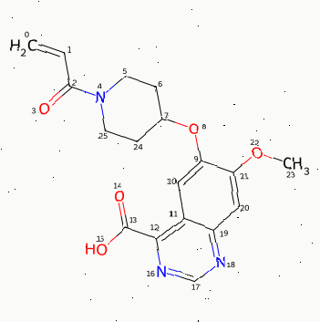 C=CC(=O)N1CCC(Oc2cc3c(C(=O)O)ncnc3cc2OC)CC1